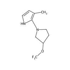 Cc1cc[nH]c1N1CCC(OC(F)(F)F)C1